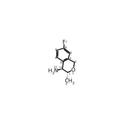 C[C@H]1OCc2cc(F)ccc2[C@@H]1N